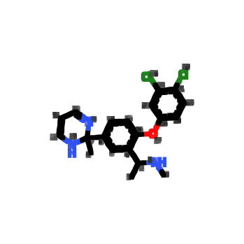 CNC(C)c1cc(C2(C)N=CC=CN2)ccc1Oc1ccc(Cl)c(Cl)c1